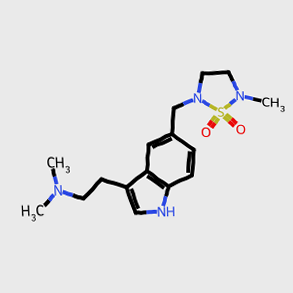 CN(C)CCc1c[nH]c2ccc(CN3CCN(C)S3(=O)=O)cc12